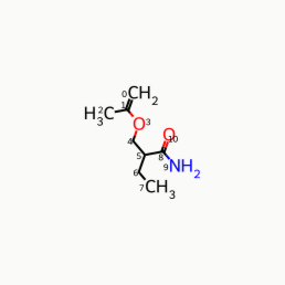 C=C(C)OCC(CC)C(N)=O